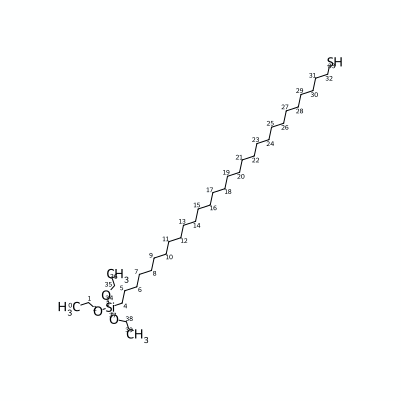 CCO[Si](CCCCCCCCCCCCCCCCCCCCCCCCCCCCCS)(OCC)OCC